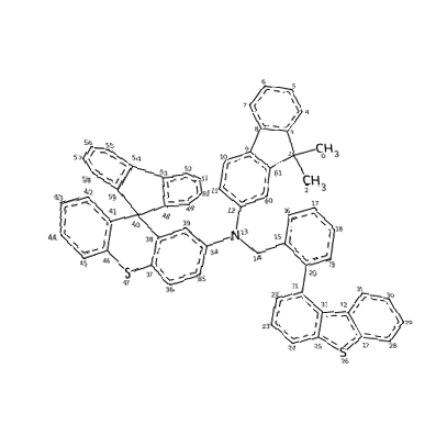 CC1(C)c2ccccc2-c2ccc(N(Cc3ccccc3-c3cccc4sc5ccccc5c34)c3ccc4c(c3)C3(c5ccccc5S4)c4ccccc4-c4ccccc43)cc21